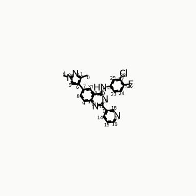 Cc1nn(C)cc1-c1ccc2nc(-c3cccnc3)nc(Nc3ccc(F)c(Cl)c3)c2c1